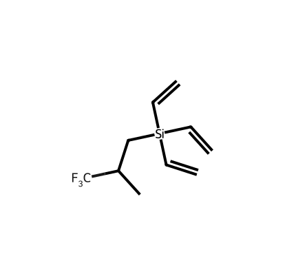 C=C[Si](C=C)(C=C)CC(C)C(F)(F)F